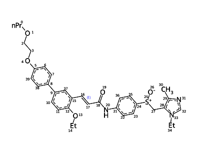 CCCOCCOc1ccc(-c2ccc(OCC)c(/C=C/C(=O)Nc3ccc([S+]([O-])Cc4c(C)ncn4CC)cc3)c2)cc1